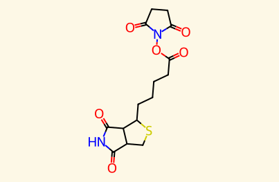 O=C(CCCCC1SCC2C(=O)NC(=O)C12)ON1C(=O)CCC1=O